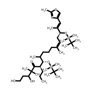 CCC[C@@H](C(=O)C(C)(C)C(O)CCO)[C@@H](O[Si](C)(C)C(C)(C)C)C(C)CCCC(C)=CC[C@H](O[Si](C)(C)C(C)(C)C)/C(C)=C/c1csc(C)n1